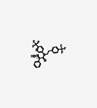 O=C(/C(=N/O)c1ccccc1)N(CCc1ccc(C(F)(F)F)cc1)c1ccc(C(F)(F)F)nc1